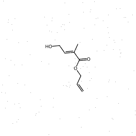 C=CCOC(=O)C(C)=CCO